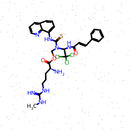 CNC(=N)NCCC[C@H](N)C(=O)OCN(C(=S)Nc1cccc2cccnc12)C(NC(=O)/C=C/c1ccccc1)C(Cl)(Cl)Cl